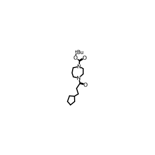 CC(C)(C)OC(=O)N1CCCN(C(=O)CCC2CCCC2)CC1